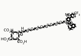 CC1(C)CCN(S(=O)(=O)c2cc(-c3cnc(C(F)(F)F)cc3C#N)c(Cl)cc2OCCOCCOCCOCCOCCOCCOCCOCCOCCNC(=O)CN2CCN(CC(=O)O)CCN(CC(=O)O)CCN(CC(=O)O)CC2)c2ccccc21